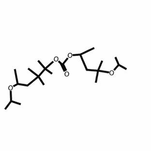 CC(C)OC(C)CC(C)(C)C(C)(C)OC(=O)OC(C)CC(C)(C)OC(C)C